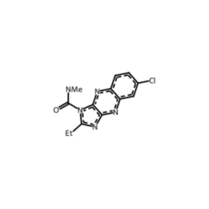 CCc1nc2nc3cc(Cl)ccc3nc2n1C(=O)NC